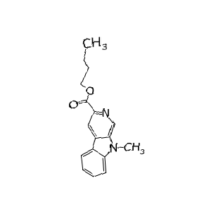 CCCCOC(=O)c1cc2c3ccccc3n(C)c2cn1